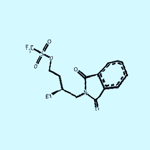 CC[C@@H](CCOS(=O)(=O)C(F)(F)F)CN1C(=O)c2ccccc2C1=O